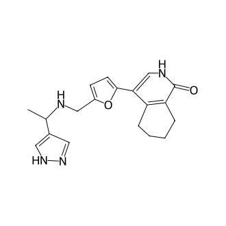 CC(NCc1ccc(-c2c[nH]c(=O)c3c2CCCC3)o1)c1cn[nH]c1